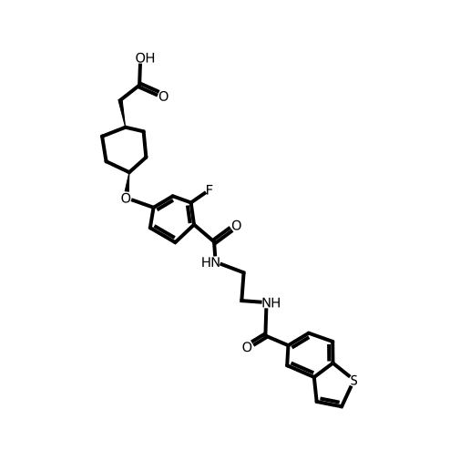 O=C(O)C[C@H]1CC[C@@H](Oc2ccc(C(=O)NCCNC(=O)c3ccc4sccc4c3)c(F)c2)CC1